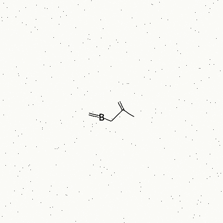 C=BCC(=C)C